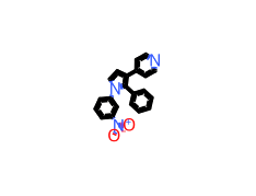 O=[N+]([O-])c1cccc(-n2ccc(-c3ccncc3)c2-c2ccccc2)c1